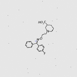 O=C(O)C1CCCN(CCO/N=C(/c2ccccc2)c2ccc(F)cc2)C1